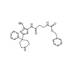 CC(C)(C)n1nc(C2(c3ccccc3)CCNCC2)cc1NC(=O)CCNC(=O)OCc1ccccc1